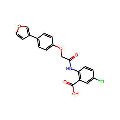 O=C(COc1ccc(-c2ccoc2)cc1)Nc1ccc(Cl)cc1C(=O)O